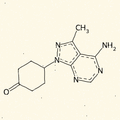 Cc1nn(C2CCC(=O)CC2)c2ncnc(N)c12